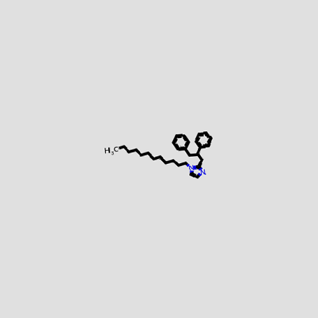 CCCCCCCCCCCCn1ccnc1CC(Cc1ccccc1)c1ccccc1